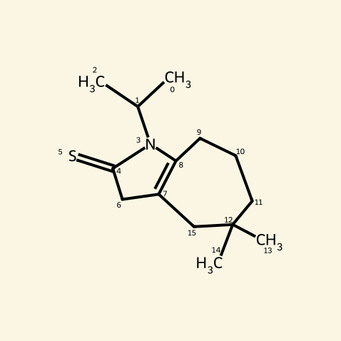 CC(C)N1C(=S)CC2=C1CCCC(C)(C)C2